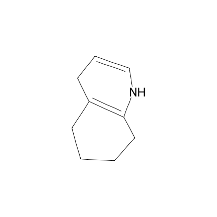 C1=CNC2=C(C1)CCCC2